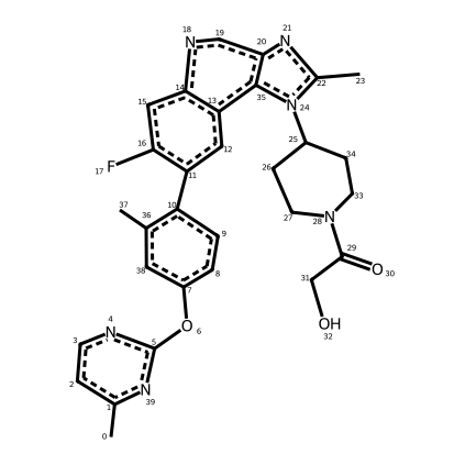 Cc1ccnc(Oc2ccc(-c3cc4c(cc3F)ncc3nc(C)n(C5CCN(C(=O)CO)CC5)c34)c(C)c2)n1